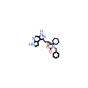 CC(C)(C)OC(=O)N(Cc1ccccc1)C1(CCCc2n[nH]c3cnc4[nH]ccc4c23)CCCCC1